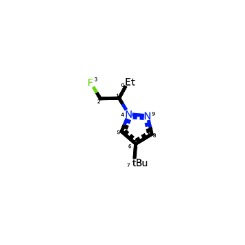 CCC(CF)n1cc(C(C)(C)C)cn1